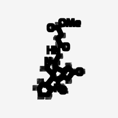 COC(=O)CCC(=O)NCC1=c2c(c3c(c4c2=CC(=O)C4)[N+](=O)C2=C3CCCC2)C=N1